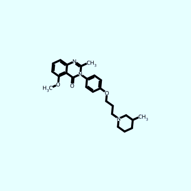 COc1cccc2nc(C)n(-c3ccc(OCCCN4CCCC(C)C4)cc3)c(=O)c12